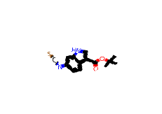 CC(C)(C)OC(=O)C1CNc2cc(N=C=S)ccc21